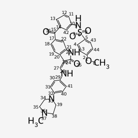 COc1ccc(S(=O)(=O)Nc2cccc(C(=O)c3ccc4c(c3)NC(=O)C4=CNc3ccc(N4CCN(C)CC4)cc3)c2)cc1